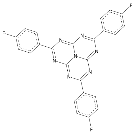 Fc1ccc(C2=NC3=NC(c4ccc(F)cc4)=NC4=NC(c5ccc(F)cc5)=NC(=N2)N34)cc1